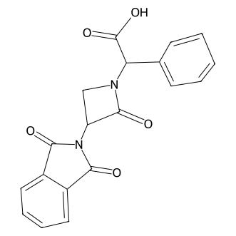 O=C(O)C(c1ccccc1)N1CC(N2C(=O)c3ccccc3C2=O)C1=O